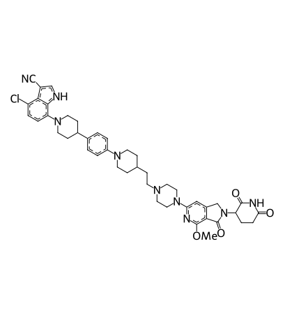 COc1nc(N2CCN(CCC3CCN(c4ccc(C5CCN(c6ccc(Cl)c7c(C#N)c[nH]c67)CC5)cc4)CC3)CC2)cc2c1C(=O)N(C1CCC(=O)NC1=O)C2